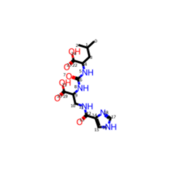 CC(C)CC(NC(=O)NC(CNC(=O)c1c[nH]cn1)C(=O)O)C(=O)O